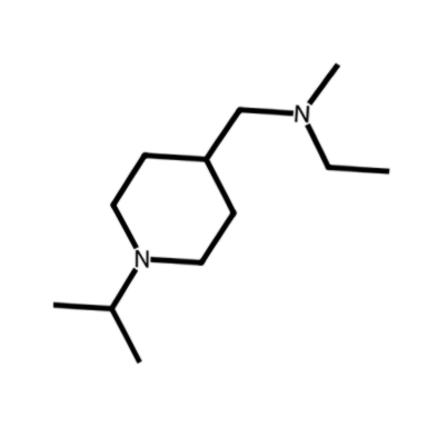 CCN(C)CC1CCN(C(C)C)CC1